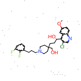 COc1ccc2ncc(Cl)c([C@@H](O)CCC3(CO)CCN(CCCc4cccc(F)c4F)CC3)c2c1